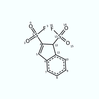 O=S(=O)(F)C1=Cc2ccccc2C1S(=O)(=O)F